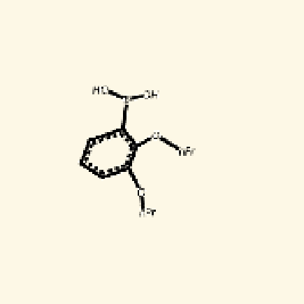 CCCOc1cccc(B(O)O)c1OCCC